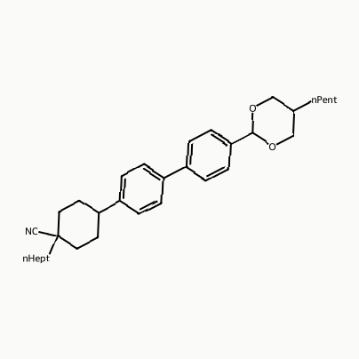 CCCCCCCC1(C#N)CCC(c2ccc(-c3ccc(C4OCC(CCCCC)CO4)cc3)cc2)CC1